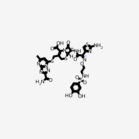 Cc1cc(SCC2=C(C(=O)O)N3C(=O)[C@@H](NC(=O)/C(=N\OCCNS(=O)(=O)c4ccc(O)c(O)c4)c4csc(N)n4)[C@H]3SC2)n2nc(C(N)=O)nc2n1